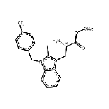 COOC(=O)[C@@H](N)Cc1c(C)n(Cc2ccc(C(F)(F)F)cc2)c2ccccc12